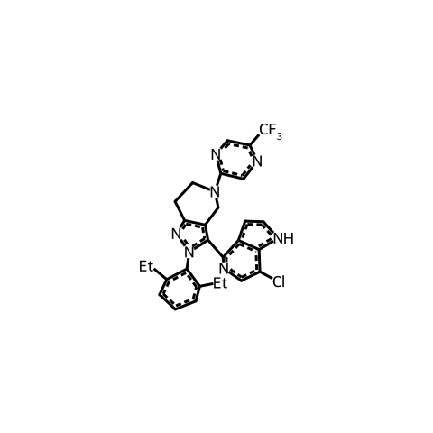 CCc1cccc(CC)c1-n1nc2c(c1-c1ncc(Cl)c3[nH]ccc13)CN(c1cnc(C(F)(F)F)cn1)CC2